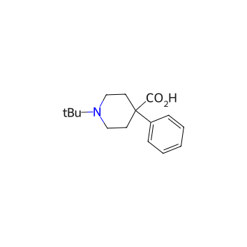 CC(C)(C)N1CCC(C(=O)O)(c2ccccc2)CC1